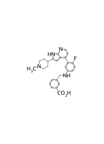 CN1CCC(c2cc3c(-c4cc(NCc5cccc(C(=O)O)c5)ccc4F)ccnc3[nH]2)CC1